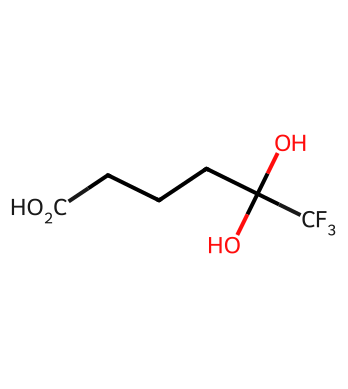 O=C(O)CCCC(O)(O)C(F)(F)F